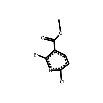 COC(=O)c1ccc(Cl)nc1Br